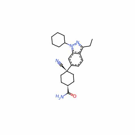 CCc1nn(C2CCCCC2)c2cc([C@]3(C#N)CC[C@@H](C(N)=O)CC3)ccc12